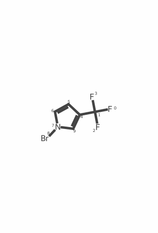 FC(F)(F)c1ccn(Br)c1